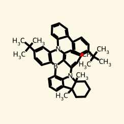 Cc1cc2c3c(c1)N1c4c(cccc4C4(C)CCCCC14C)B3c1ccc(C(C)(C)C)cc1N2c1ccccc1-c1ccc(C(C)(C)C)cc1